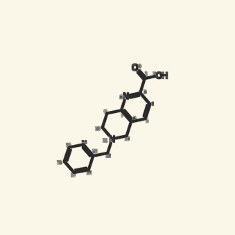 O=C(O)c1ccc2c(n1)CCN(Cc1ccccc1)C2